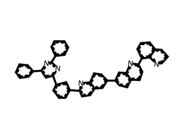 c1ccc(-c2cc(-c3cccc(-c4ccc5cc(-c6ccc7ccc(-c8cccc9cccnc89)nc7c6)ccc5n4)c3)nc(-c3ccccc3)n2)cc1